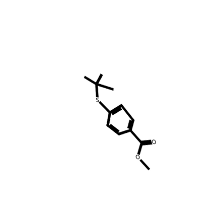 COC(=O)c1ccc(SC(C)(C)C)cc1